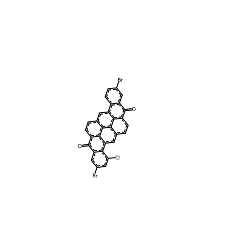 O=c1c2cc(Br)ccc2c2cc3ccc4c(=O)c5cc(Br)cc(Cl)c5c5cc6ccc1c2c6c3c45